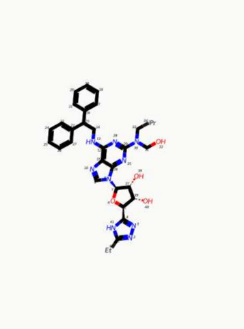 CCc1nnc([C@H]2O[C@@H](n3cnc4c(NCC(c5ccccc5)c5ccccc5)nc(N(CO)CC(C)C)nc43)[C@H](O)[C@@H]2O)[nH]1